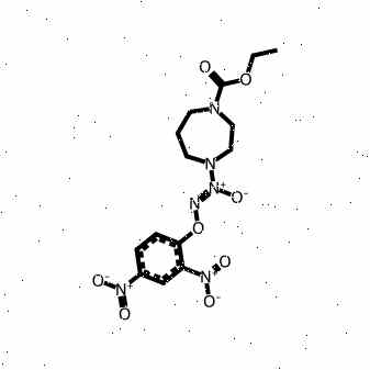 CCOC(=O)N1CCCN(/[N+]([O-])=N/Oc2ccc([N+](=O)[O-])cc2[N+](=O)[O-])CC1